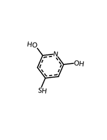 Oc1cc(S)cc(O)n1